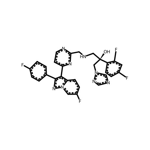 O[C@](CNCc1nccc(-c2c(-c3ccc(F)cc3)nn3cc(F)ccc23)n1)(Cn1cncn1)c1ccc(F)cc1F